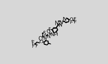 Cc1ccc(OCCC(F)(F)F)c(N2C(=O)CSC2=NC(=O)Nc2ccc(-c3ncn(-c4ccc(OC(F)(F)F)cn4)n3)cc2F)c1